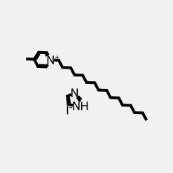 CCCCCCCCCCCCCCCC[n+]1ccc(C)cc1.[I-].c1c[nH]cn1